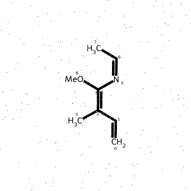 C=C/C(C)=C(\N=C/C)OC